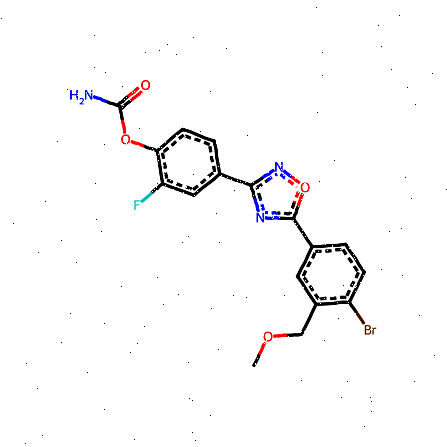 COCc1cc(-c2nc(-c3ccc(OC(N)=O)c(F)c3)no2)ccc1Br